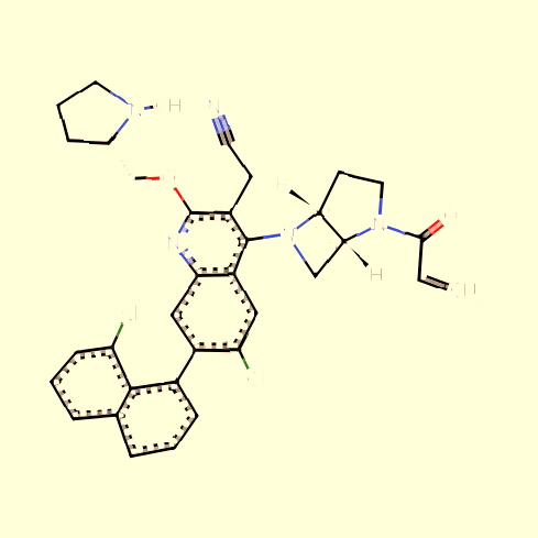 C=CC(=O)N1CC[C@@H]2[C@H]1CN2c1c(CC#N)c(OC[C@@H]2CCCN2C)nc2cc(-c3cccc4cccc(Cl)c34)c(Cl)cc12